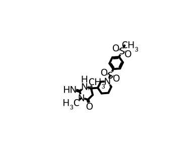 CN1C(=N)N[C@](C)(C2CCCN(S(=O)(=O)c3ccc(S(C)(=O)=O)cc3)C2)CC1=O